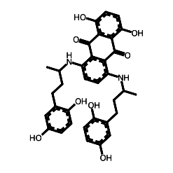 CC(CCc1cc(O)ccc1O)Nc1ccc(NC(C)CCc2cc(O)ccc2O)c2c1C(=O)c1c(O)ccc(O)c1C2=O